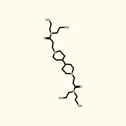 O=C(CCN1CCC(C2CCN(CCC(=O)N(CCO)CCO)CC2)CC1)N(CCO)CCO